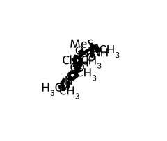 CSc1cc(C)[nH]c(=O)c1CNC(=O)c1cc(Cl)c2c(c1C)OC(C)(C1CCC(N3CC[Si](C)(C)CC3)CC1)O2